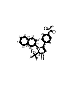 CS(=O)(=O)c1ccc(C2=CNC(C(F)(F)F)N2c2ccc3ccccc3c2)cc1